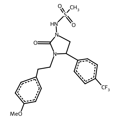 COc1ccc(CCN2C(=O)N(NS(C)(=O)=O)CC2c2ccc(C(F)(F)F)cc2)cc1